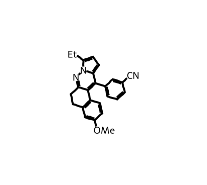 CCc1ccc2c(-c3cccc(C#N)c3)c3c(nn12)CCc1cc(OC)ccc1-3